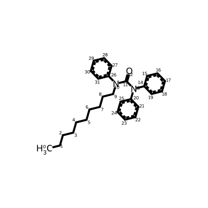 CCCCCCCCCCN(C(=O)N(c1ccccc1)c1ccccc1)c1ccccc1